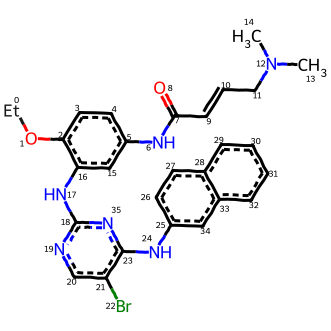 CCOc1ccc(NC(=O)/C=C/CN(C)C)cc1Nc1ncc(Br)c(Nc2ccc3ccccc3c2)n1